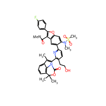 CNC(=O)c1c(-c2ccc(F)cc2)oc2cc(N(C)S(C)(=O)=O)c(-c3ccc(CCO)c(-c4c(C)c5cccc6c5n4C(=O)OC6(C)C)n3)cc12